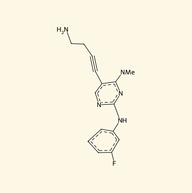 CNc1nc(Nc2cccc(F)c2)ncc1C#CCCN